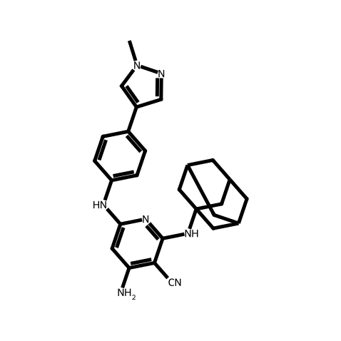 Cn1cc(-c2ccc(Nc3cc(N)c(C#N)c(NC45CC6CC(CC(C6)C4)C5)n3)cc2)cn1